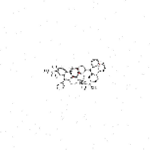 C[Si](C)(C)c1ccc(-c2ccccc2)c(N(c2ccccc2)c2ccc3ccc4c(N(c5ccccc5)c5cc([Si](C)(C)C)ccc5-c5ccccc5)ccc5ccc2c3c54)c1